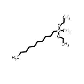 CCCCCCCCCC[Si](C)(OCC)OCC